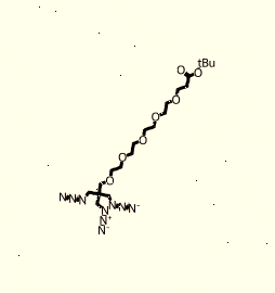 CC(C)(C)OC(=O)CCOCCOCCOCCOCCOCC(CN=[N+]=[N-])(CN=[N+]=[N-])CN=[N+]=[N-]